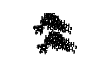 Cc1nc(C)c(C(S[C@@H]2O[C@H](CO)[C@H](O)[C@H](n3cc(-c4cc(F)c(F)c(F)c4)nn3)[C@H]2O)C2(O)CCN(C)CC2)nc1C.Cc1nc(C)c(C(S[C@@H]2O[C@H](CO)[C@H](O)[C@H](n3cc(-c4cc(F)c(F)c(F)c4)nn3)[C@H]2O)C2(O)CCN(C)CC2)nc1C